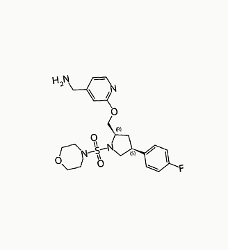 NCc1ccnc(OC[C@H]2C[C@@H](c3ccc(F)cc3)CN2S(=O)(=O)N2CCOCC2)c1